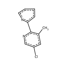 Cc1cc(Cl)cnc1-c1ccccn1